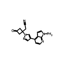 N#CCC1(n2cc(-c3ccnc4c3ccn4P)cn2)CC(=O)C1